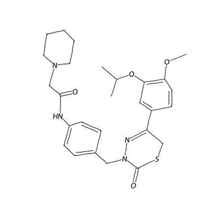 COc1ccc(C2=NN(Cc3ccc(NC(=O)CN4CCCCC4)cc3)C(=O)SC2)cc1OC(C)C